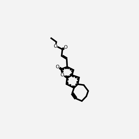 CCOC(=O)/C=C/c1cc2cc3c(cc2oc1=O)C#CCCCC3